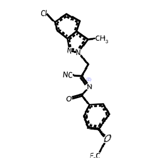 Cc1c2ccc(Cl)cc2nn1C/C(C#N)=N/C(=O)c1ccc(OC(F)(F)F)cc1